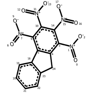 O=[N+]([O-])c1c2c(c([N+](=O)[O-])c([N+](=O)[O-])c1[N+](=O)[O-])-c1ccccc1C2